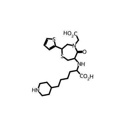 O=C(O)CN1CC(c2cccs2)SCC(NC(CCCCC2CCNCC2)C(=O)O)C1=O